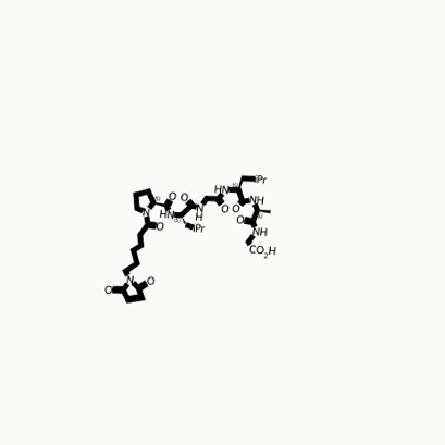 CC(C)C[C@H](NC(=O)CNC(=O)[C@H](CC(C)C)NC(=O)[C@@H]1CCCN1C(=O)CCCCCN1C(=O)C=CC1=O)C(=O)N[C@@H](C)C(=O)NCC(=O)O